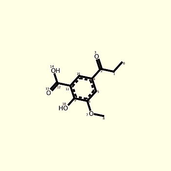 CCC(=O)c1cc(OC)c(O)c(C(=O)O)c1